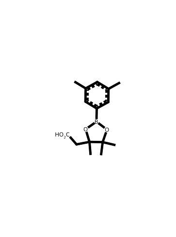 Cc1cc(C)cc(B2OC(C)(C)C(C)(CC(=O)O)O2)c1